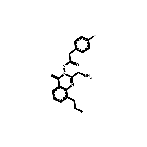 C=C1c2cccc(CCF)c2N=C(CN)N1NC(=O)Cc1ccc(F)cc1